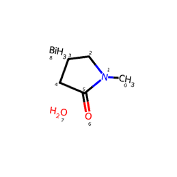 CN1CCCC1=O.O.[BiH3]